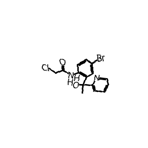 CC(O)(c1ccccn1)c1cc(Br)ccc1NC(=O)CCl